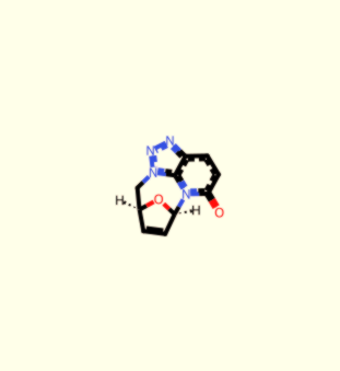 O=c1ccc2nnn3c2n1[C@H]1C=C[C@@H](C3)O1